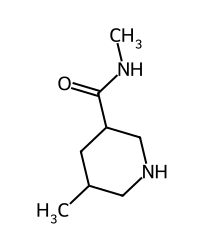 CNC(=O)C1CNCC(C)C1